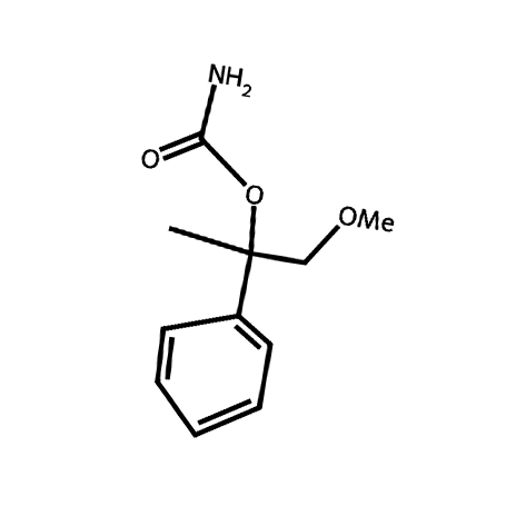 COCC(C)(OC(N)=O)c1ccccc1